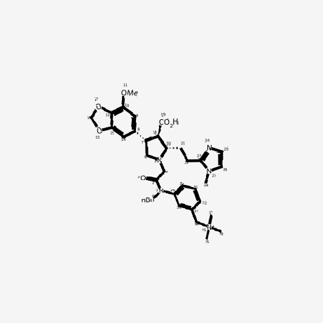 CCCCN(C(=O)CN1C[C@H](c2cc(OC)c3c(c2)OCO3)[C@@H](C(=O)O)[C@@H]1CCc1nccn1C)c1cccc(C[N+](C)(C)C)c1